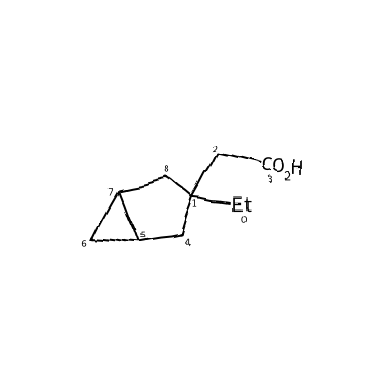 CCC1(CC(=O)O)CC2CC2C1